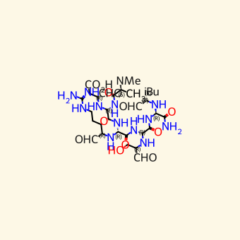 CC[C@@H](C)[C@H](C=O)N[C@H](NC(=O)[C@@H](NC(=O)[C@@H](NC(=O)[C@@H](NC(=O)[C@H](C)NC)N[C@@H](C=O)CC(=O)O)N[C@@H](C=O)CCCNC(=N)N)N[C@@H](C=O)CO)C(N)=O